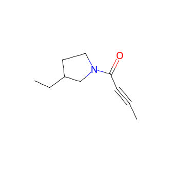 CC#CC(=O)N1CCC(CC)C1